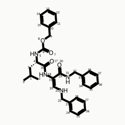 CC(C)C[C@H](NC(=O)OCc1ccccc1)C(=O)N/C(=C/NCc1ccccc1)C(=O)NCc1ccccc1